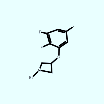 CCN1CC(Oc2cc(F)cc(F)c2F)C1